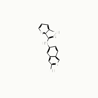 Cc1cc2cc(Nc3n[nH]c4cccnc34)ccc2cn1